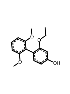 CCOc1cc(O)ccc1-c1c(OC)c[c]cc1OC